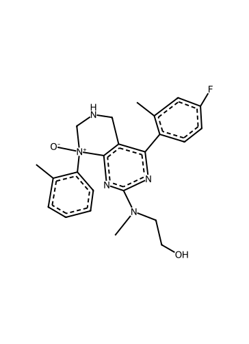 Cc1cc(F)ccc1-c1nc(N(C)CCO)nc2c1CNC[N+]2([O-])c1ccccc1C